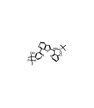 CC(C)(C)[S+]([O-])NC(c1cc2ccnc(-c3cc(C(C)(O)C(F)(F)F)ccn3)c2s1)c1ncccc1Cl